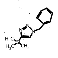 C[Si](C)(C)c1cn(Cc2ccccc2)nn1